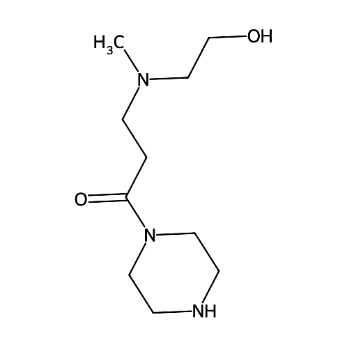 CN(CCO)CCC(=O)N1CCNCC1